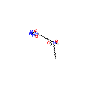 CCCCCCCCCCCCN(CC(CCCCCCCCCn1c(=O)c2c(ncn2C)n(C)c1=O)C(=O)CC)C(=O)CC